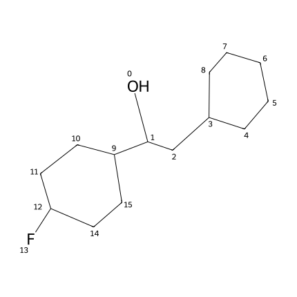 OC(CC1CCCCC1)C1CCC(F)CC1